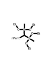 CCCCCC([Si](C)(OCC)OCC)[Si](C)(OCC)OCC